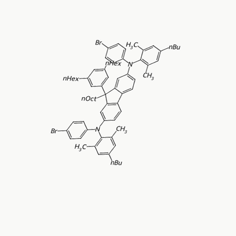 CCCCCCCCC1(c2cc(CCCCCC)cc(CCCCCC)c2)c2cc(N(c3ccc(Br)cc3)c3c(C)cc(CCCC)cc3C)ccc2-c2ccc(N(c3ccc(Br)cc3)c3c(C)cc(CCCC)cc3C)cc21